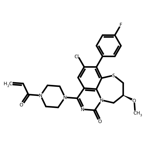 C=CC(=O)N1CCN(c2nc(=O)n3c4c(c(-c5ccc(F)cc5)c(Cl)cc24)SC[C@@H](OC)C3)CC1